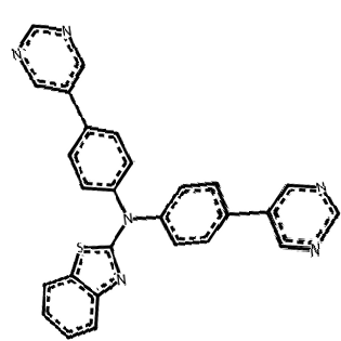 c1ccc2sc(N(c3ccc(-c4cncnc4)cc3)c3ccc(-c4cncnc4)cc3)nc2c1